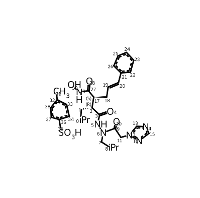 CC(C)C[C@@H](C(=O)NN(CC(C)C)C(=O)Cn1cncn1)[C@H](CC=Cc1ccccc1)C(=O)NO.Cc1ccc(S(=O)(=O)O)cc1